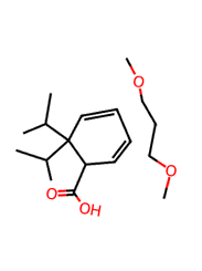 CC(C)C1(C(C)C)C=CC=CC1C(=O)O.COCCCOC